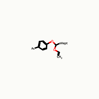 C=COC(CCCCCCC)Oc1ccc(C(C)=O)cc1